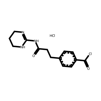 Cl.O=C(CCc1ccc(C(=O)Cl)cc1)NC1=NCCCN1